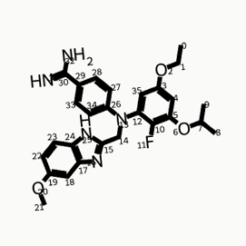 CCOc1cc(OC(C)C)c(F)c(N(Cc2nc3cc(OC)ccc3[nH]2)c2ccc(C(=N)N)cc2)c1